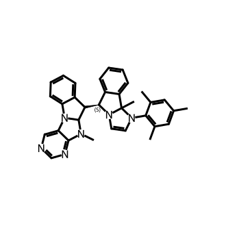 Cc1cc(C)c(N2C=CN3[C@@H](C4c5ccccc5N5c6cncnc6N(C)C45)c4ccccc4C23C)c(C)c1